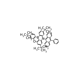 CC(C)(C)c1ccc2c(c1)Oc1cc(C(C)(C)C)cc3c1B2c1ccc(C(C)(C)C)cc1N3c1c2ccccc2c(-c2ccccc2)c2ccccc12